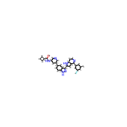 Cc1cc(F)cc(-c2nccc3[nH]c(-c4n[nH]c5ccc(-c6cncc(NC(=O)C7CCC7)c6)cc45)cc23)c1